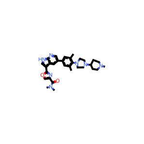 Cc1cc(-c2cnc3[nH]cc(-c4nc(C(=O)N(C)C)co4)c3c2)cc(C)c1N1CCN(C2CCN(C)CC2)CC1